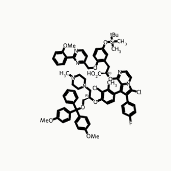 COc1ccc(C(OC[C@@H](CN2CCN(C)CC2)Oc2ccc(-c3c(-c4ccc(F)cc4)c(Cl)n4ccnc(O[C@H](Cc5cc(O[Si](C)(C)C(C)(C)C)ccc5OCc5ccnc(-c6ccccc6OC)n5)C(=O)O)c34)c(C)c2Cl)(c2ccccc2)c2ccc(OC)cc2)cc1